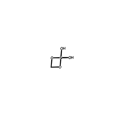 O[Si]1(O)OCO1